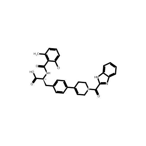 Cc1cccc(Cl)c1C(=O)N[C@@H](Cc1ccc(C2=CCN(C(=O)c3nc4ccccc4[nH]3)CC2)cc1)C(=O)O